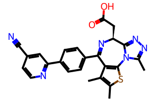 Cc1sc2c(c1C)C(c1ccc(-c3cc(C#N)ccn3)cc1)=N[C@@H](CC(=O)O)c1nnc(C)n1-2